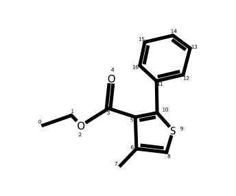 CCOC(=O)c1c(C)csc1-c1ccccc1